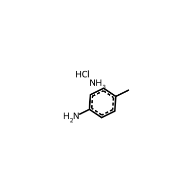 Cc1ccc(N)cc1.Cl.N